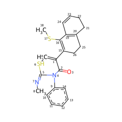 C=C(C(=O)N(/C(S)=N\C)c1ccccc1)C1=C(SC)C2=C(CCC=C2)CC1